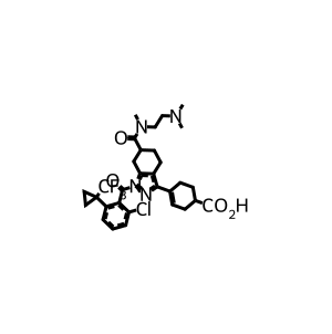 CN(C)CCN(C)C(=O)C1CCc2c(C3=CCC(C(=O)O)CC3)nn(C(=O)c3c(Cl)cccc3C3(C(F)(F)F)CC3)c2C1